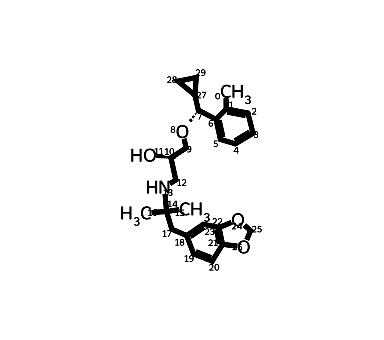 Cc1ccccc1[C@H](OC[C@H](O)CNC(C)(C)Cc1ccc2c(c1)OCO2)C1CC1